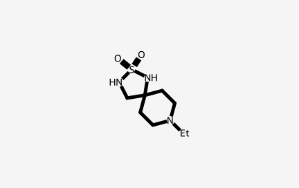 CCN1CCC2(CC1)CNS(=O)(=O)N2